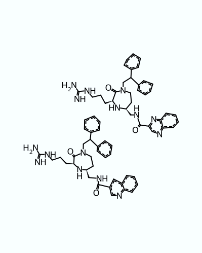 N=C(N)NCCC[C@@H]1N[C@H](CNC(=O)c2cnc3ccccc3c2)CCN(CC(c2ccccc2)c2ccccc2)C1=O.N=C(N)NCCC[C@@H]1N[C@H](CNC(=O)c2cnc3ccccc3n2)CCN(CC(c2ccccc2)c2ccccc2)C1=O